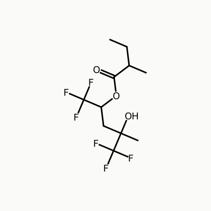 CCC(C)C(=O)OC(CC(C)(O)C(F)(F)F)C(F)(F)F